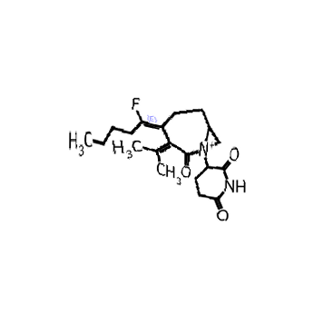 CCCC/C(F)=C1/CCC2C[N+]2(C2CCC(=O)NC2=O)C(=O)C1=C(C)C